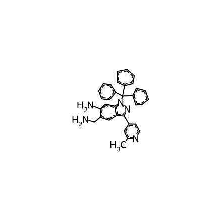 Cc1cc(-c2nn(C(c3ccccc3)(c3ccccc3)c3ccccc3)c3cc(N)c(CN)cc23)ccn1